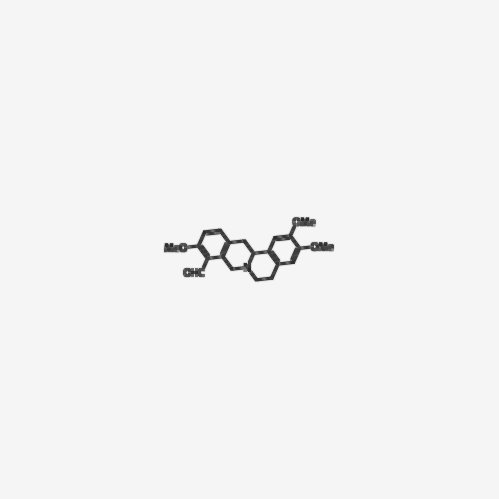 COc1cc2c(cc1OC)C1Cc3ccc(OC)c(C=O)c3CN1CC2